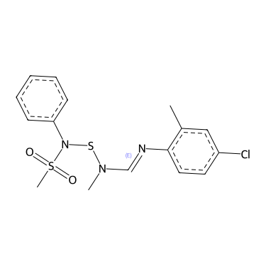 Cc1cc(Cl)ccc1/N=C/N(C)SN(c1ccccc1)S(C)(=O)=O